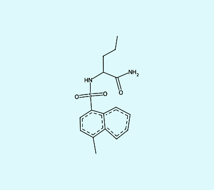 CCCC(NS(=O)(=O)c1ccc(C)c2ccccc12)C(N)=O